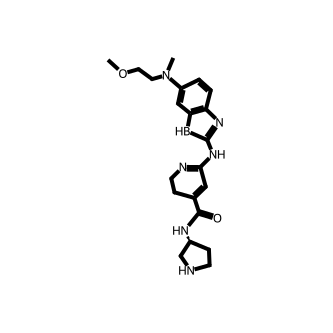 COCCN(C)c1ccc2c(c1)BC(NC1=NCCC(C(=O)N[C@@H]3CCNC3)=C1)=N2